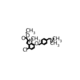 CCOC(=O)c1cc2c(Cl)ccc(OCc3ccc(CN(C)C)cc3)c2n1C